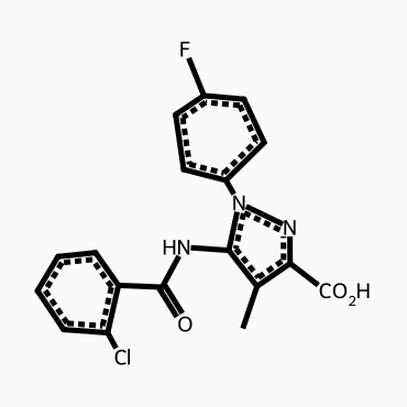 Cc1c(C(=O)O)nn(-c2ccc(F)cc2)c1NC(=O)c1ccccc1Cl